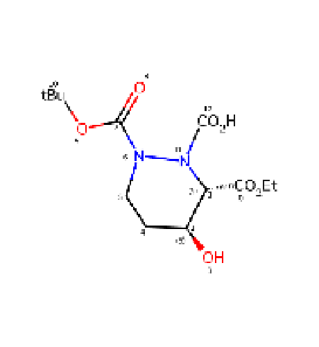 CCOC(=O)[C@@H]1[C@@H](O)CCN(C(=O)OC(C)(C)C)N1C(=O)O